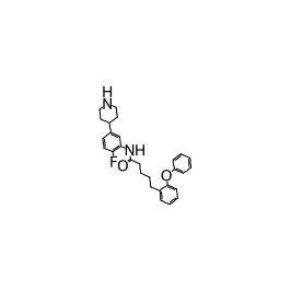 O=C(CCCCc1ccccc1Oc1ccccc1)Nc1cc(C2CCNCC2)ccc1F